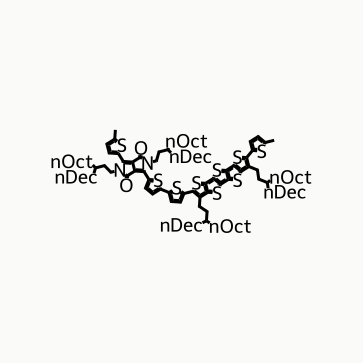 CCCCCCCCCCC(CCCCCCCC)CCc1c(-c2ccc(C)s2)sc2c1sc1c2sc2c3sc(-c4ccc(-c5ccc(C6=C7C(=O)N(CCC(CCCCCCCC)CCCCCCCCCC)C(c8ccc(C)s8)=C7C(=O)N6CCC(CCCCCCCC)CCCCCCCCCC)s5)s4)c(CCC(CCCCCCCC)CCCCCCCCCC)c3sc21